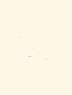 C=NC(C)CN(C)C1/C=C\C/C(CN2CCNCC2)=C\NC1